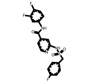 O=C(Nc1ccc(F)c(F)c1)c1ccnc(NS(=O)(=O)Cc2ccc(F)cc2)c1